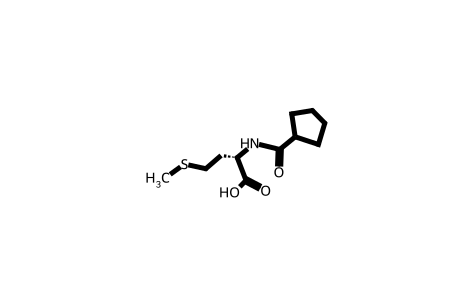 CSCC[C@H](NC(=O)C1CCCC1)C(=O)O